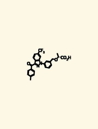 Cc1ccc(C(=O)c2nn(-c3cccc(CO[C@H](C)C(=O)O)c3)c3cc(C(F)(F)F)ccc23)cc1